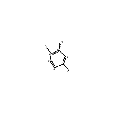 Cc1ccc(I)c(F)c1